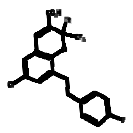 CCC1(C(F)(F)F)Oc2c(cc(Cl)cc2CCc2ccc(F)cc2)C=C1C(=O)O